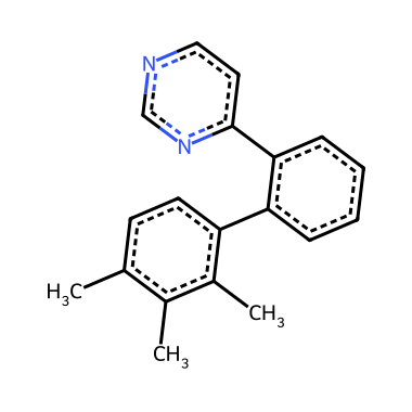 Cc1ccc(-c2ccccc2-c2ccncn2)c(C)c1C